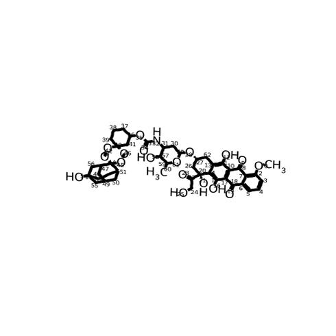 COc1cccc2c1C(=O)c1c(O)c3c(c(O)c1C2=O)[C@](O)(C(=O)CO)C[C@@H](OC1CC(NC(=O)OC2CCCC4(C2)OOC2(OO4)C4CC5CC2CC(O)(C5)C4)C(O)C(C)O1)C3